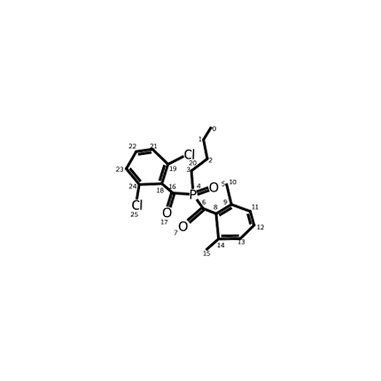 CCCCP(=O)(C(=O)c1c(C)cccc1C)C(=O)c1c(Cl)cccc1Cl